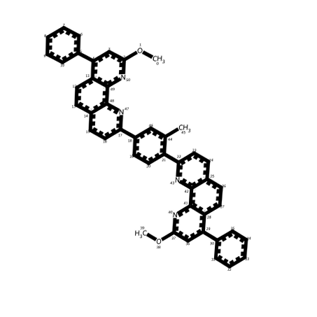 COc1cc(-c2ccccc2)c2ccc3ccc(-c4ccc(-c5ccc6ccc7c(-c8ccccc8)cc(OC)nc7c6n5)c(C)c4)nc3c2n1